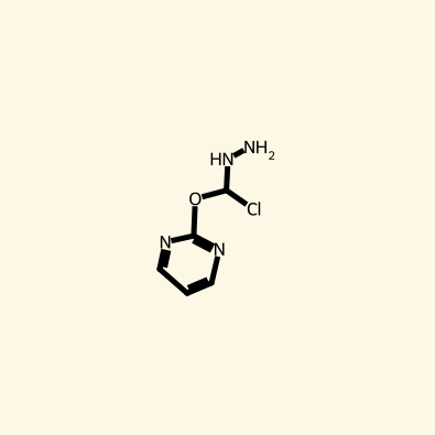 NNC(Cl)Oc1ncccn1